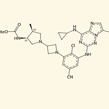 COC(=O)N[C@@H]1CN(C2CN(c3cc(C#N)cc(Nc4nc(NC5CC5)c5ncc(C#N)n5n4)c3Cl)C2)C[C@@H]1C